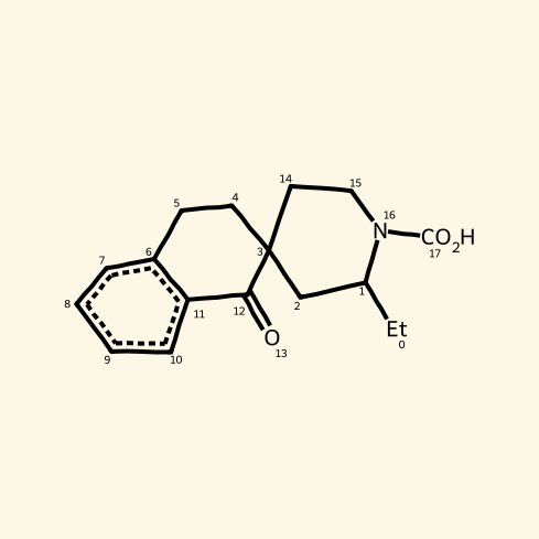 CCC1CC2(CCc3ccccc3C2=O)CCN1C(=O)O